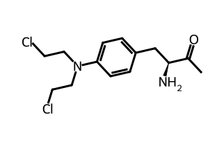 CC(=O)[C@@H](N)Cc1ccc(N(CCCl)CCCl)cc1